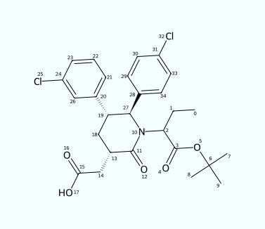 CCC(C(=O)OC(C)(C)C)N1C(=O)[C@H](CC(=O)O)C[C@H](c2cccc(Cl)c2)[C@H]1c1ccc(Cl)cc1